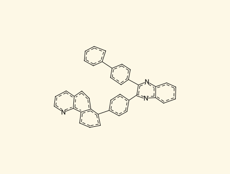 c1ccc(-c2ccc(-c3nc4ccccc4nc3-c3ccc(-c4cccc5c4ccc4cccnc45)cc3)cc2)cc1